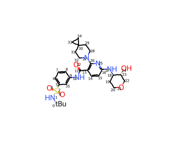 CC(C)(C)NS(=O)(=O)c1cccc(NC(=O)c2ccc(N[C@@H]3CCOC[C@H]3O)nc2N2CCC3(CC2)CC3)c1